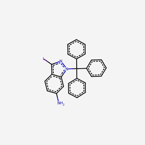 Nc1ccc2c(I)nn(C(c3ccccc3)(c3ccccc3)c3ccccc3)c2c1